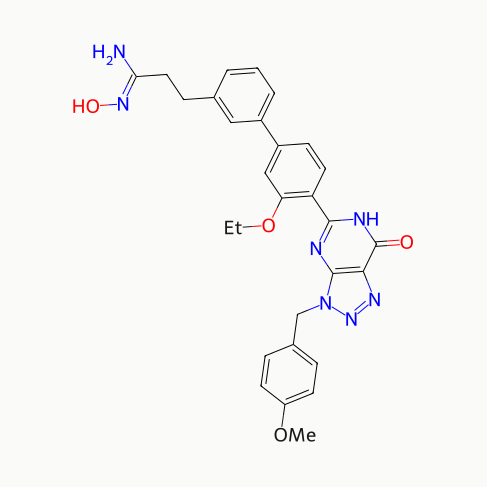 CCOc1cc(-c2cccc(CCC(N)=NO)c2)ccc1-c1nc2c(nnn2Cc2ccc(OC)cc2)c(=O)[nH]1